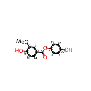 COc1cc(C(=O)Oc2ccc(O)cc2)ccc1O